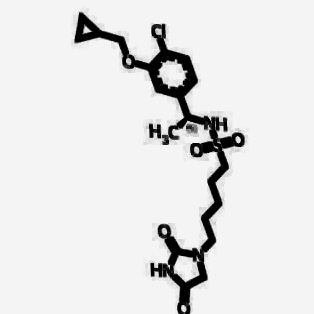 C[C@H](NS(=O)(=O)CCCCCN1CC(=O)NC1=O)c1ccc(Cl)c(OCC2CC2)c1